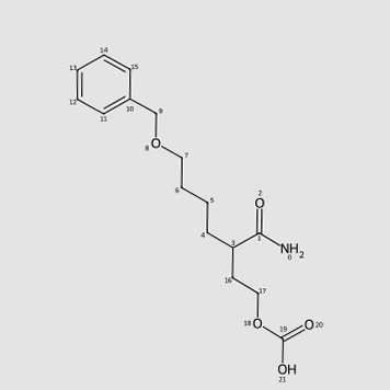 NC(=O)C(CCCCOCc1ccccc1)CCOC(=O)O